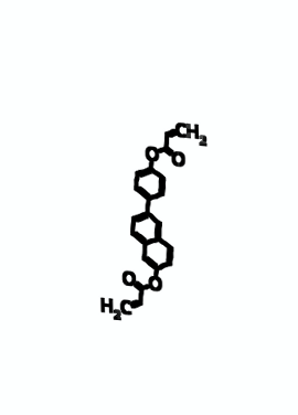 C=CC(=O)Oc1ccc(-c2ccc3cc(OC(=O)C=C)ccc3c2)cc1